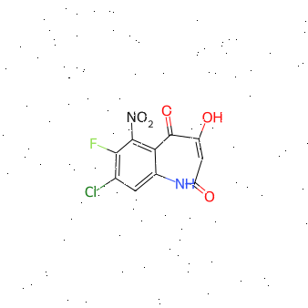 O=c1cc(O)c(=O)c2c([N+](=O)[O-])c(F)c(Cl)cc2[nH]1